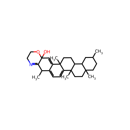 CC1CCC2(C)CCC3(C)C4=CC=C5C(=CC6(O)OCCN=C6C5C)C4(C)CCC3C2C1